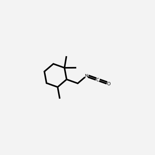 CC1CCCC(C)(C)C1CN=C=O